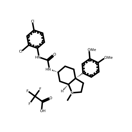 COc1ccc([C@@]23CC[C@@H](NC(=O)Nc4ccc(Cl)cc4Cl)C[C@@H]2N(C)CC3)cc1OC.O=C(O)C(F)(F)F